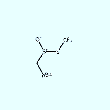 CCCCC[S+]([O-])SC(F)(F)F